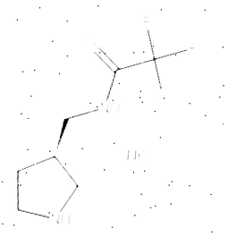 Cl.O=C(NC[C@@H]1CCNC1)C(F)(F)F